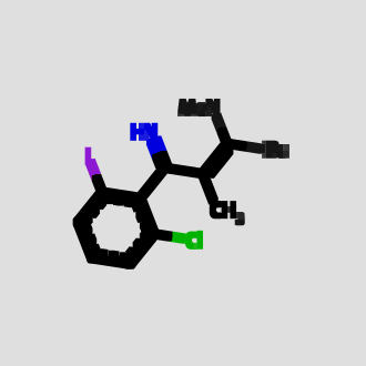 CCC(C)/C(NC)=C(\C)C(=N)c1c(Cl)cccc1I